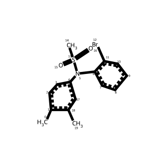 Cc1ccc(N(c2ccccc2Br)S(C)(=O)=O)cc1C